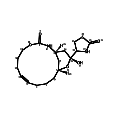 O=C1N[C@@H]2C[C@@H](CCCC=CCCCO1)O[C@@](O)(C1CSC(=O)N1)C2